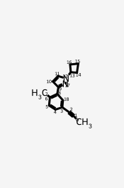 CC#Cc1ccc(C)c(-c2ccn(C3CCC3)n2)c1